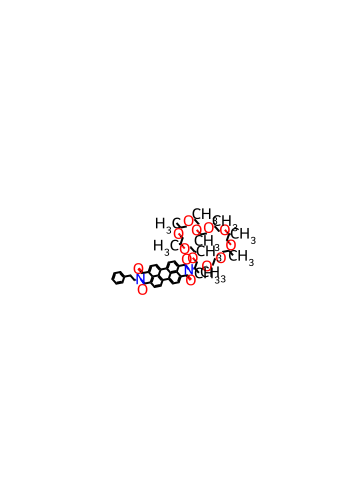 COCCOCC(C)OCC(C)OCC(C)OCC(C)OCC(C)OCC(C)OCC(C)OCC(C)OCC(C)N1C(=O)c2ccc3c4ccc5c6c(ccc(c7ccc(c2c37)C1=O)c64)C(=O)N(CCc1ccccc1)C5=O